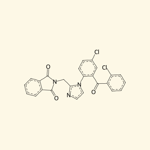 O=C(c1ccccc1Cl)c1cc(Cl)ccc1-n1ccnc1CN1C(=O)c2ccccc2C1=O